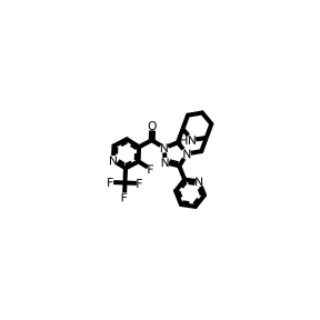 O=C(c1ccnc(C(F)(F)F)c1F)N1N=C(c2ccccn2)N2CC3CCCC(N3)C21